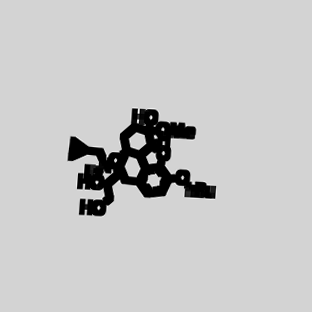 CCCCOc1ccc2c3c1O[C@@H]1C3[C@@](OCC(O)CO)(CCC1(O)OC)[C@H](N(CC)CC1CC1)C2